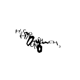 CCCCOc1c(C)c(CO[C@H]2CC[C@H](NC(=O)OCC)CC2)nc2ccccc12